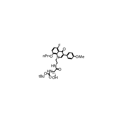 CCCOc1ccc(F)c2c(=O)c(-c3ccc(OC)cc3)cn(CCNC(=O)[C@H](CO)NC(=O)OC(C)(C)C)c12